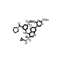 COc1ncc(-c2ccc3c(Nc4cc(C(=O)N5CCCC5)cc(S(N)(=O)=O)c4)c(S(=O)(=O)NC4CC4)cnc3c2)c(OC)n1